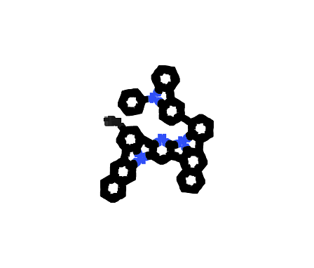 CC(C)(C)c1cc2c3cc4ccccc4cc3n3c4cc5c6c7ccccc7cc7c8cccc(-c9ccc%10c(c9)c9ccccc9n%10-c9ccccc9)c8n(c5nc4c(c1)c23)c76